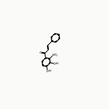 CC(=O)Oc1ccc(C(=O)C=Cc2ccccc2)c([N+](=O)[O-])c1OC(C)=O